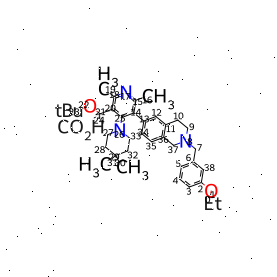 CCOc1cccc(CN2CCc3cc(-c4c(C)nc(C)c([C@H](OC(C)(C)C)C(=O)O)c4N4CCC(C)(C)CC4)ccc3C2)c1